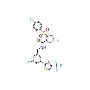 O=C(NCc1cc(F)cc(-c2nc(C(F)(F)F)cs2)c1)[C@@H]1C[C@@H](F)CN1S(=O)(=O)c1ccc(F)cc1